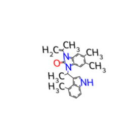 C=C(C)n1c(=O)n(C(C)c2c[nH]c3cccc(C)c23)c2cc(C)c(C)cc21